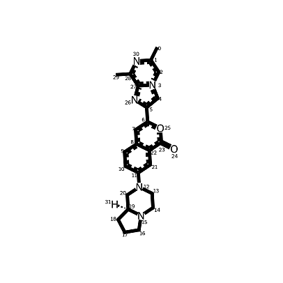 Cc1cn2cc(-c3cc4ccc(N5CCN6CCC[C@H]6C5)cc4c(=O)o3)nc2c(C)n1